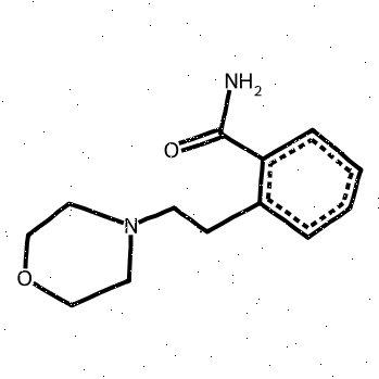 NC(=O)c1ccccc1[CH]CN1CCOCC1